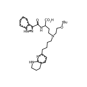 CC(C)(C)OCCN(CCCCc1ccc2c(n1)NCCC2)CCC(NC(=O)c1n[nH]c2ccccc12)C(=O)O